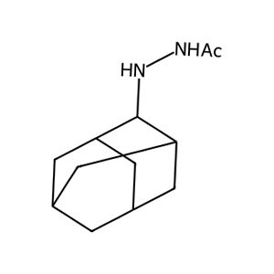 CC(=O)NNC1C2CC3CC(C2)CC1C3